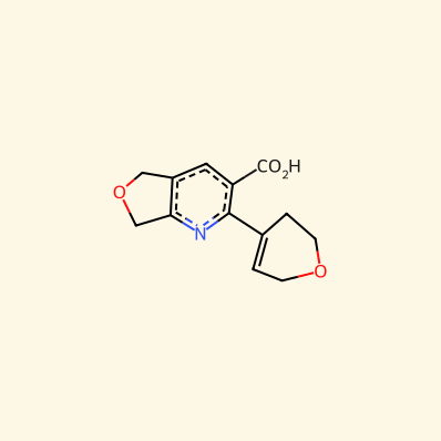 O=C(O)c1cc2c(nc1C1=CCOCC1)COC2